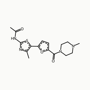 CC(=O)Nc1nc(C)c(-c2ccc(C(=O)N3CCN(C)CC3)o2)s1